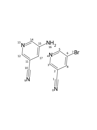 N#Cc1cncc(Br)c1.N#Cc1cncc(N)c1